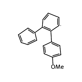 COc1ccc(-c2[c]cccc2-c2ccccc2)cc1